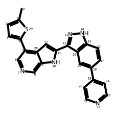 Cc1ccc(-c2cncc3[nH]c(-c4n[nH]c5ccc(-c6ccncc6)cc45)cc23)s1